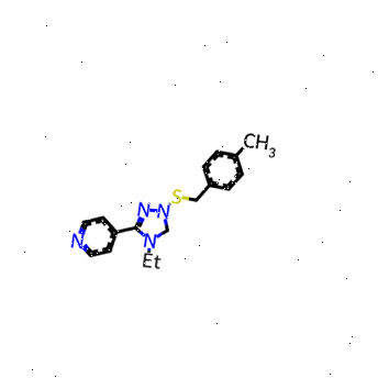 CCN1CN(SCc2ccc(C)cc2)N=C1c1ccncc1